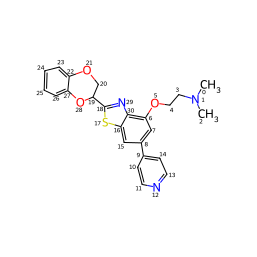 CN(C)CCOc1cc(-c2ccncc2)cc2sc(C3COc4ccccc4O3)nc12